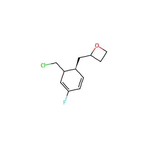 FC1=CC(CCl)[C@@H](CC2CCO2)C=C1